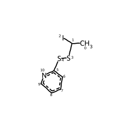 CC(I)SSc1ccccn1